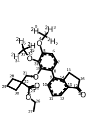 [2H]C([2H])([2H])Oc1ccc(-c2cccc3c2CCC3=O)c(OCC2(C(=O)OCC)CCC2)c1OC([2H])([2H])[2H]